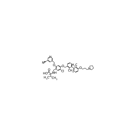 Cc1c(COc2cc(OCc3cncc(C#N)c3)c(CN[C@H](C(=O)O)C(C)C)cc2Cl)cccc1-c1cccc(OCCCN2CCCC2)c1C